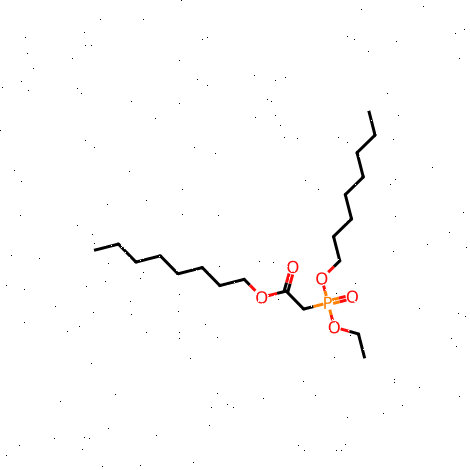 CCCCCCCCOC(=O)CP(=O)(OCC)OCCCCCCCC